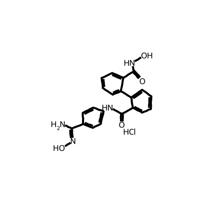 Cl.NC(=NO)c1ccc(NC(=O)c2ccccc2-c2ccccc2C(=O)NO)cc1